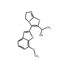 COc1cccc2cc(C3=C(C(C)O)SC4=NCCN43)sc12